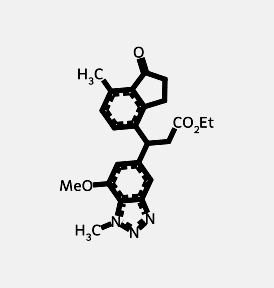 CCOC(=O)CC(c1cc(OC)c2c(c1)nnn2C)c1ccc(C)c2c1CCC2=O